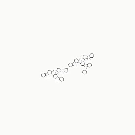 c1ccc(-n2c3ccccc3c3c4c5c6oc7ccccc7c6ccc5n5c6ccc7c8ccc(-c9ccc%10oc%11c(ccc%12c%11c%11c%13c(cc%14c%15c%16oc%17ccccc%17c%16ccc%15n%12c%14%11)oc%11ccccc%11%13)c%10c9)cc8oc7c6c(cc32)c45)cc1